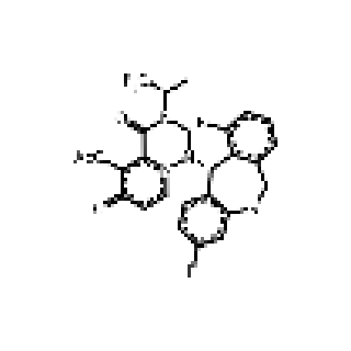 CC(=O)Oc1c2n(ccc1=O)N([C@H]1c3ccc(F)cc3SCc3cccc(F)c31)CN([C@H](C)C(F)(F)F)C2=O